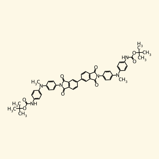 CN(c1ccc(NC(=O)OC(C)(C)C)cc1)c1ccc(N2C(=O)c3ccc(-c4ccc5c(c4)C(=O)N(c4ccc(N(C)c6ccc(NC(=O)OC(C)(C)C)cc6)cc4)C5=O)cc3C2=O)cc1